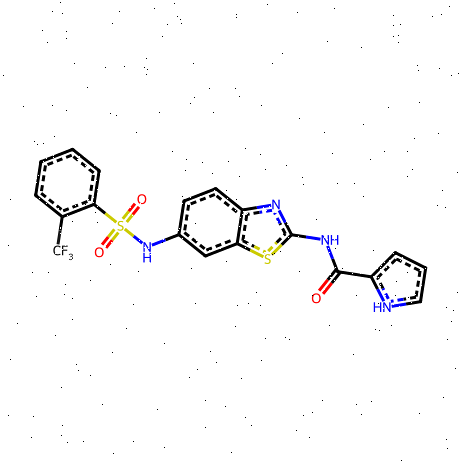 O=C(Nc1nc2ccc(NS(=O)(=O)c3ccccc3C(F)(F)F)cc2s1)c1ccc[nH]1